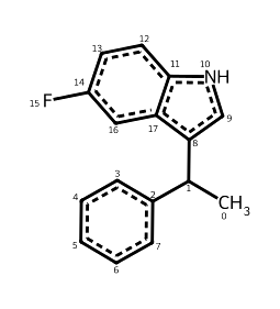 CC(c1ccccc1)c1c[nH]c2ccc(F)cc12